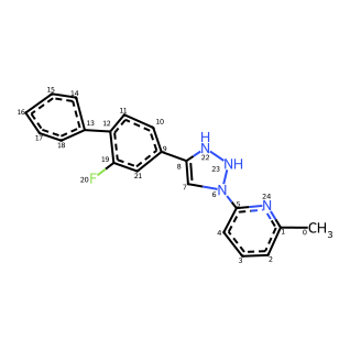 Cc1cccc(N2C=C(c3ccc(-c4ccccc4)c(F)c3)NN2)n1